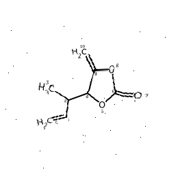 C=CC(C)C1OC(=O)OC1=C